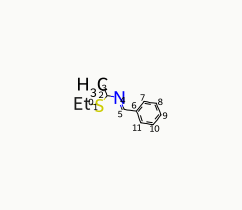 CCSC(C)/N=C/c1ccccc1